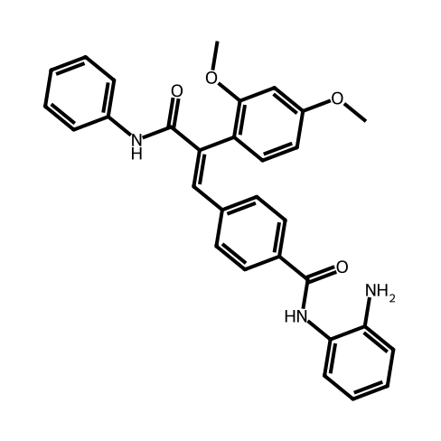 COc1ccc(/C(=C\c2ccc(C(=O)Nc3ccccc3N)cc2)C(=O)Nc2ccccc2)c(OC)c1